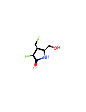 O=C1N[C@H](CO)[C@H](CF)[C@@H]1F